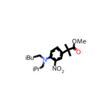 CCC(C)CN(CC(C)C)c1ccc(C(C)(C)C(=O)OC)cc1[N+](=O)[O-]